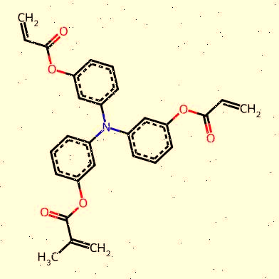 C=CC(=O)Oc1cccc(N(c2cccc(OC(=O)C=C)c2)c2cccc(OC(=O)C(=C)C)c2)c1